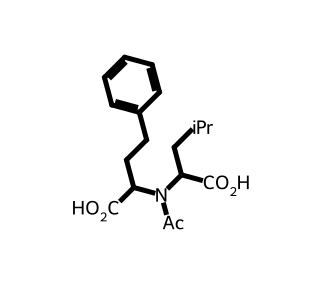 CC(=O)N(C(CCc1ccccc1)C(=O)O)C(CC(C)C)C(=O)O